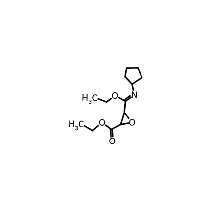 CCOC(=O)C1OC1C(=NC1CCCC1)OCC